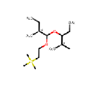 CC(=O)OCC(OC(OCCS(C)(C)C)[C@H](COC(C)=O)OC(C)=O)[C@@H](C)OC(C)=O